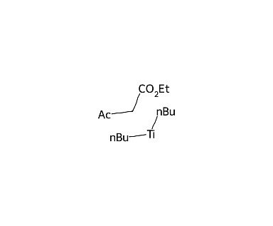 CCC[CH2][Ti][CH2]CCC.CCOC(=O)CC(C)=O